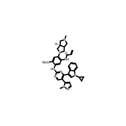 C=CC(=O)Nc1cc(Nc2ncc(-c3ccnn3C)c(-c3cn(C4CC4)c4ccccc34)n2)c(OC)cc1N1CC2CN(C)C[C@@H]2C1